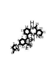 Cc1ccn(-c2ccc(C(=O)c3cccc4c3Nc3ncccc3C(C)N4)c(C(F)(F)F)c2)n1